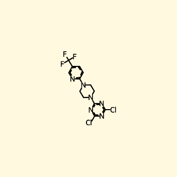 FC(F)(F)c1ccc(N2CCN(c3nc(Cl)nc(Cl)n3)CC2)nc1